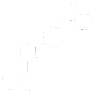 Cc1ccccc1C(=O)N1CCCN(c2cccc(C(=O)c3cccnc3N)n2)CC1